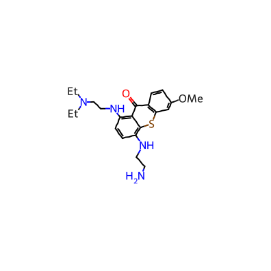 CCN(CC)CCNc1ccc(NCCN)c2sc3cc(OC)ccc3c(=O)c12